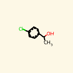 C[C](O)c1ccc(Cl)cc1